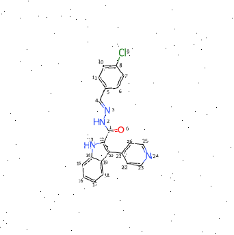 O=C(NN=Cc1ccc(Cl)cc1)c1[nH]c2ccccc2c1-c1ccncc1